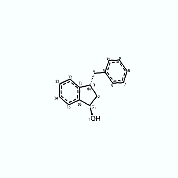 O[C@@H]1C[C@@H](Cc2ccccc2)c2ccccc21